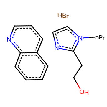 Br.CCCn1ccnc1CCO.c1ccc2ncccc2c1